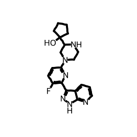 OC1(C2CN(c3ccc(F)c(-c4n[nH]c5ncccc45)n3)CCN2)CCCC1